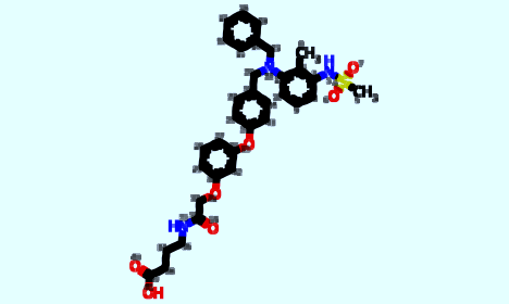 Cc1c(NS(C)(=O)=O)cccc1N(Cc1ccccc1)Cc1ccc(Oc2cccc(OCC(=O)NCCCC(=O)O)c2)cc1